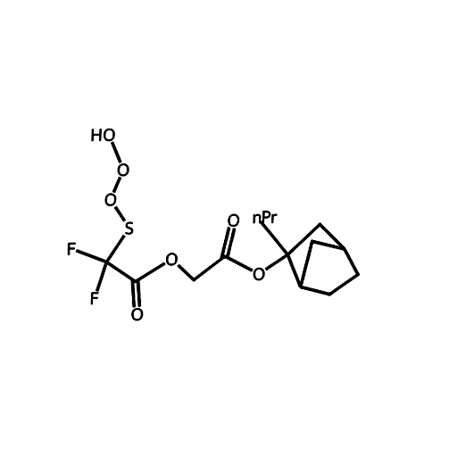 CCCC1(OC(=O)COC(=O)C(F)(F)SOOO)CC2CCC1C2